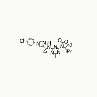 Cc1nc(NC2(c3cn(-c4ccc(Cl)cc4)cn3)CC2)nc(N2C(=O)OC3(CC3)C2C(C)C)n1